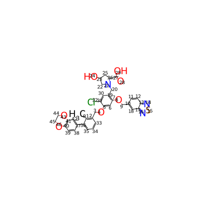 Cc1c(COc2cc(OCc3ccc4nsnc4c3)c(CN3CC(O)CC3C(=O)O)cc2Cl)cccc1-c1ccc2c(c1)OCCO2